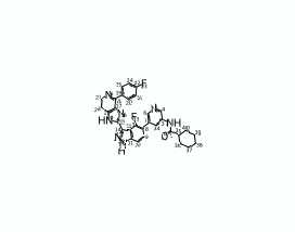 O=C(Nc1cncc(-c2ccc3[nH]nc(-c4nc5c(-c6ccc(F)cc6)nccc5[nH]4)c3c2F)c1)C1CCCCC1